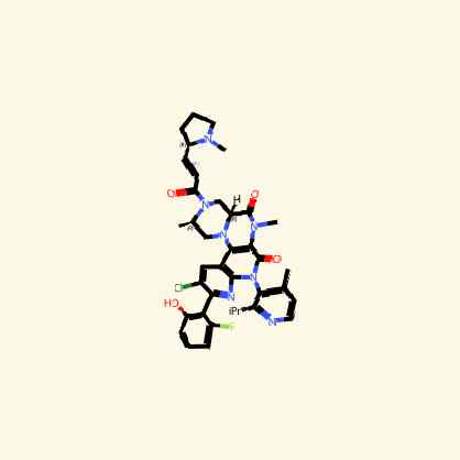 Cc1ccnc(C(C)C)c1-n1c(=O)c2c(c3cc(Cl)c(-c4c(O)cccc4F)nc31)N1C[C@@H](C)N(C(=O)/C=C/[C@H]3CCCN3C)C[C@@H]1C(=O)N2C